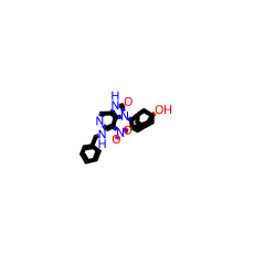 O=c1[nH]c2cnc(NCc3ccccc3)c([N+](=O)[O-])c2n1C1C2CC3CC1CC(O)(C3)C2